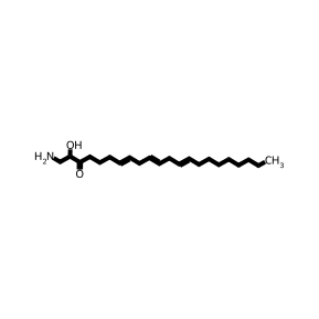 CCCCCCCCC=CCC=CCC=CCCCC(=O)C(O)CN